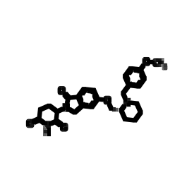 O=C1CCC(N2Cc3cc(OC[C@H]4CCCCN4Cc4ccc(OC(F)(F)F)cc4)ccc3C2=O)C(=O)N1